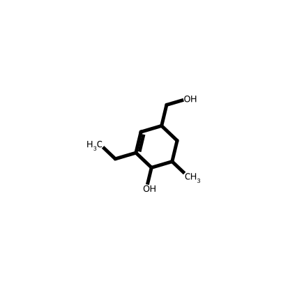 CCC1=CC(CO)CC(C)C1O